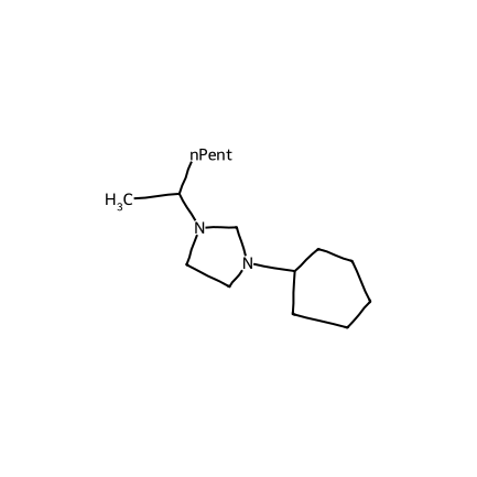 CCCCCC(C)N1CCN(C2CCCCC2)C1